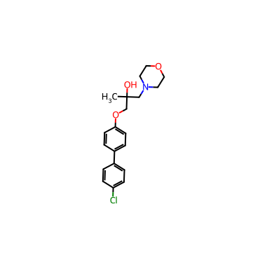 CC(O)(COc1ccc(-c2ccc(Cl)cc2)cc1)CN1CCOCC1